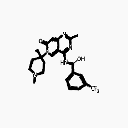 Cc1nc(N[C@H](O)c2cccc(C(F)(F)F)c2)c2cn(C3(C)CCN(C)CC3)c(=O)cc2n1